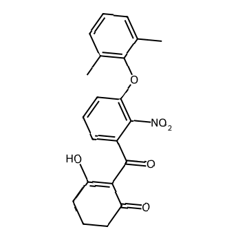 Cc1cccc(C)c1Oc1cccc(C(=O)C2=C(O)CCCC2=O)c1[N+](=O)[O-]